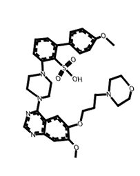 COc1ccc(-c2cccc(N3CCN(c4ncnc5cc(OC)c(OCCCN6CCOCC6)cc45)CC3)c2S(=O)(=O)O)cc1